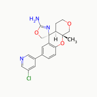 C[C@]12COCC[C@@H]1[C@@]1(COC(N)=N1)c1cc(-c3cncc(Cl)c3)ccc1O2